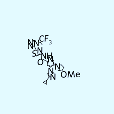 COC1CCN(c2cnc(C(=O)Nc3csc(-c4nncn4C(C)C(F)(F)F)n3)cc2-n2cnc(C3CC3)c2)C1